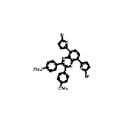 COc1ccc(-c2nc3c(-c4ccc(Br)s4)ccc(-c4ccc(Br)s4)c3nc2-c2ccc(OC)cc2)cc1